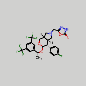 C[C@@H](O[C@H]1OC[C@@H]2CN(Cc3n[nH]c(=O)o3)C[C@H]2[C@@H]1c1ccc(F)cc1)c1cc(C(F)(F)F)cc(C(F)(F)F)c1